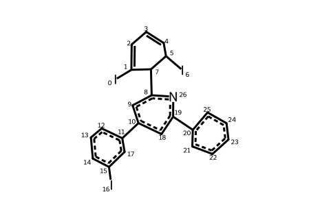 IC1=CC=CC(I)C1c1cc(-c2cccc(I)c2)cc(-c2ccccc2)n1